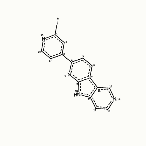 Ic1cc(-c2ccc3c(n2)[nH]c2ccncc23)ccn1